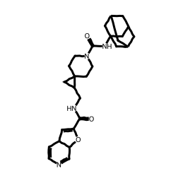 O=C(NCC1CC12CCN(C(=O)NC13CC4CC(CC(C4)C1)C3)CC2)C1=CC2C=CN=CC2O1